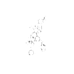 O=C(NCc1ccc(Cl)cc1)c1cn2c3c(cc(CN4CCOCC4)cc3c1=O)N(CCc1ccccc1)C(=O)C2